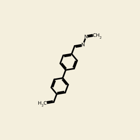 C=Cc1ccc(-c2ccc(C=NN=C)cc2)cc1